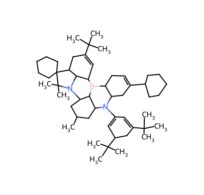 CC1CC2C3B(C4C=C(C(C)(C)C)CC5C4N(C3C1)C(C)(C)C51CCCCC1)C1CC=C(C3CCCCC3)CC1N2C1=CC(C(C)(C)C)CC(C(C)(C)C)=C1